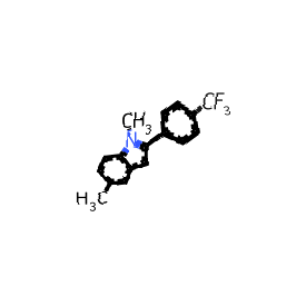 Cc1ccc2c(c1)cc(-c1ccc(C(F)(F)F)cc1)n2C